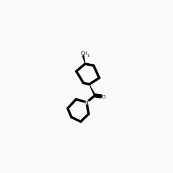 C[C@H]1CC[C@@H](C(=O)N2CCCCC2)CC1